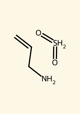 C=CCN.O=[SH2]=O